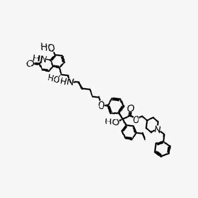 CCc1cccc(C(O)(C(=O)OCC2CCN(Cc3ccccc3)CC2)c2cccc(OCCCCCNC[C@H](O)c3ccc(O)c4[nH]c(=O)ccc34)c2)c1